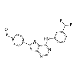 O=Cc1ccc(-c2cc3ncnc(Nc4cccc(C(F)F)c4)c3s2)cc1